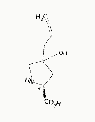 C=CCC1(O)CN[C@H](C(=O)O)C1